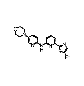 CCc1cnc(-c2cccc(Nc3ccc(N4CCOCC4)cn3)n2)s1